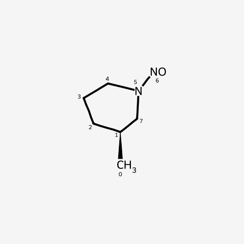 C[C@H]1CCCN(N=O)C1